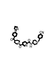 N#Cc1ccc(CN2CCC(NC(=O)c3ccc(C(=O)N4CCC(C(=O)c5ccc(-n6cccn6)cc5)CC4)cn3)CC2)cc1